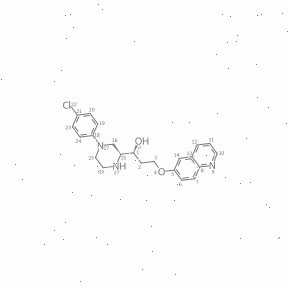 O[C@@H](CCOc1ccc2ncccc2c1)[C@@H]1CN(c2ccc(Cl)cc2)CCN1